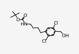 CC(C)(C)OC(=O)NCCCCc1cc(Cl)c(CO)cc1Cl